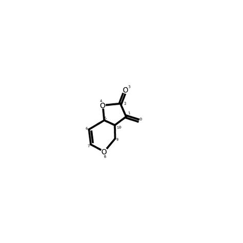 C=C1C(=O)OC2C=COCC12